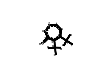 CC(C)(C)c1ccnnc(=O)c1C(C)(C)C